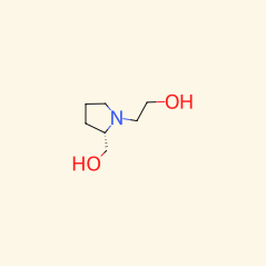 OCCN1CCC[C@H]1CO